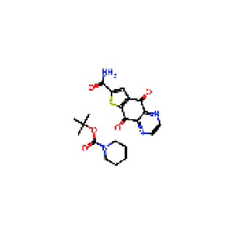 CC(C)(C)OC(=O)N1CCCCC1.NC(=O)c1cc2c(s1)C(=O)c1nccnc1C2=O